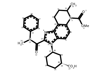 COC(=O)N1c2ccc3c(nc(C(=O)N(C)c4ccccc4)n3[C@@H]3CCC[C@@H](C(=O)O)C3)c2CCC1C